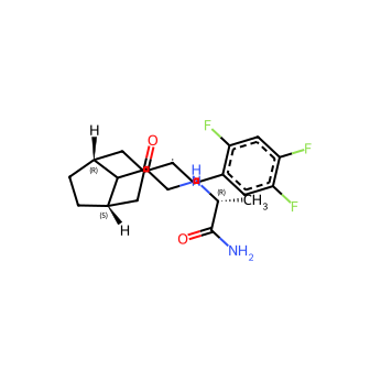 C[C@@H](NCC(=O)C1[C@@H]2CC[C@H]1CC([CH]Cc1cc(F)c(F)cc1F)C2)C(N)=O